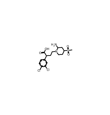 CS(=O)(=O)C1CCN(CCC(C(=O)O)c2ccc(Cl)c(Cl)c2)C(N)C1